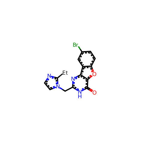 CCc1nccn1Cc1nc2c(oc3ccc(Br)cc32)c(=O)[nH]1